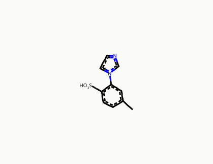 Cc1ccc(S(=O)(=O)O)c(-n2ccnc2)c1